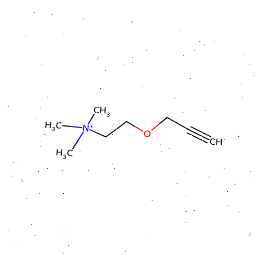 C#CCOCC[N+](C)(C)C